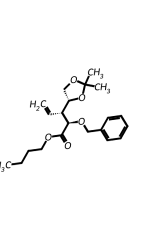 C=C[C@H]([C@@H]1COC(C)(C)O1)[C@@H](OCc1ccccc1)C(=O)OCCCC